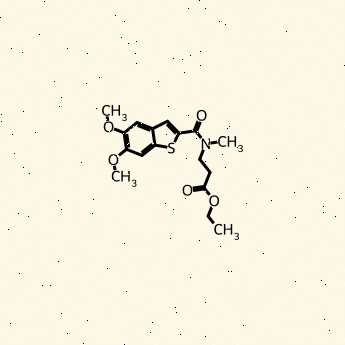 CCOC(=O)CCN(C)C(=O)c1cc2cc(OC)c(OC)cc2s1